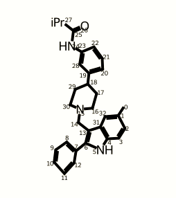 Cc1ccc2[nH]c(-c3ccccc3)c(CN3CCC(c4cccc(NC(=O)C(C)C)c4)CC3)c2c1